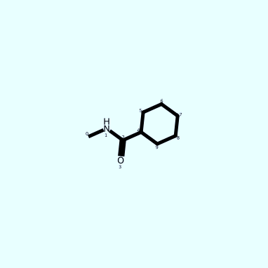 CNC(=O)C1CC[CH]CC1